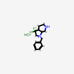 Cl.FC1(F)CN(Cc2ccccc2)C2CNCCC21